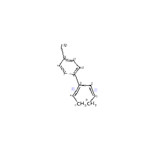 C/C=C\C(=C/C)c1ccc(I)cc1